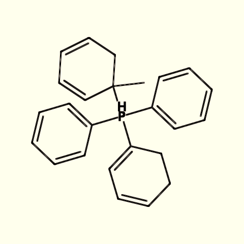 CC1([PH](C2=CC=CCC2)(c2ccccc2)c2ccccc2)C=CC=CC1